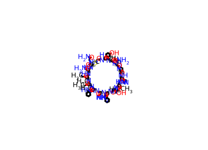 CCCC[C@H]1C(=O)N(C)[C@@H](CCCC)C(=O)N[C@@H](CCN)C(=O)N[C@H](C(=O)NCC(N)=O)CSCC(=O)NC(Cc2ccc(O)cc2)C(=O)N(C)[C@@H](C)C(=O)N[C@@H](CC(N)=O)C(=O)N2CCC[C@H]2C(=O)N[C@@H](Cc2cnc[nH]2)C(=O)N[C@@H](CC(C)C)C(=O)N2C[C@H](O)C[C@H]2C(=O)N[C@@H](Cc2c[nH]c3ccccc23)C(=O)N[C@@H](CCN)C(=O)N[C@@H](Cc2c[nH]c3ccccc23)C(=O)N1C